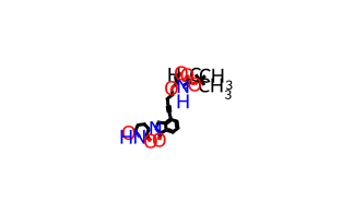 CC(C)(C)OC(=O)N[C@@H](C=O)OCCC#Cc1cccc2c1CN(C1CCC(=O)NC1=O)C2=O